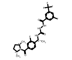 C[C@@H]1CC[C@@H](C)N1C(=O)c1ccc([C@@H](C)NC(=O)NNC(=O)c2cc(F)cc(C(F)(F)F)c2)c(F)c1